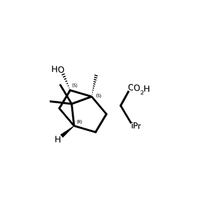 CC(C)CC(=O)O.CC1(C)[C@@H]2CC[C@]1(C)[C@@H](O)C2